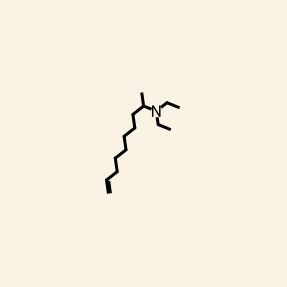 C=CCCCCCCC(C)N(CC)CC